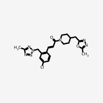 Cc1nnn(Cc2cc(Cl)ccc2/C=C/C(=O)N2CCC(Cc3nnc(C)o3)CC2)n1